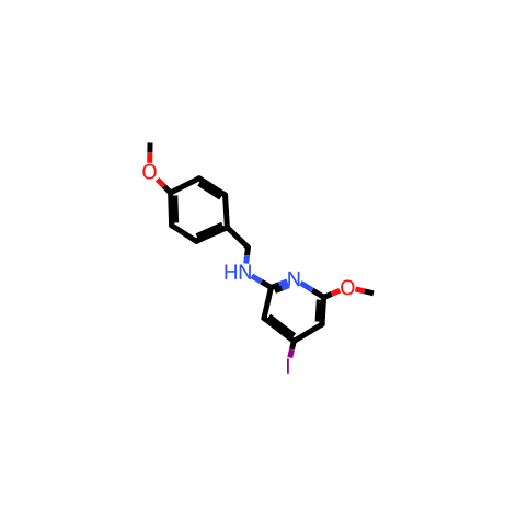 COc1ccc(CNc2cc(I)cc(OC)n2)cc1